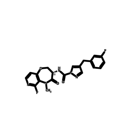 CN1C(=O)[C@@H](NC(=O)n2cc(Cc3cccc(F)c3)cn2)COc2ccnc(F)c21